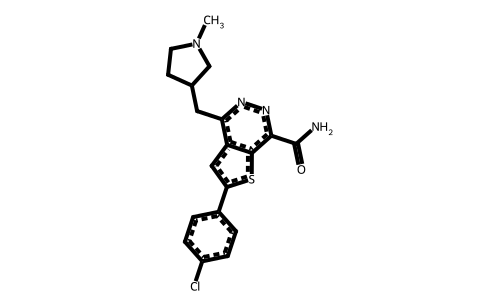 CN1CCC(Cc2nnc(C(N)=O)c3sc(-c4ccc(Cl)cc4)cc23)C1